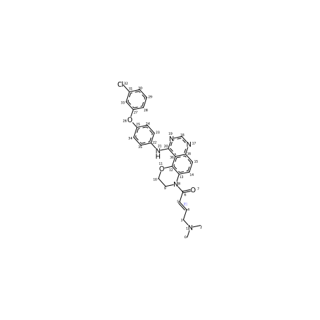 CN(C)C/C=C/C(=O)N1CCOc2c1ccc1ncnc(Nc3ccc(Oc4cccc(Cl)c4)cc3)c21